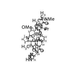 CCC(C)C(C(CC(=O)N1CCCC1C(OC)C(C)C(=O)NC(Cc1ccccc1)C(=O)NCc1c[nH]nn1)OC)N(C)C(=O)C(NC(=O)C(C)(C)NC)C(C)C